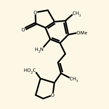 COc1c(C)c2c(c(N)c1C/C=C(\C)C1OCCC1C(=O)O)C(=O)OC2